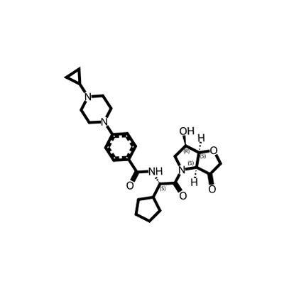 O=C(N[C@H](C(=O)N1C[C@@H](O)[C@H]2OCC(=O)[C@H]21)C1CCCC1)c1ccc(N2CCN(C3CC3)CC2)cc1